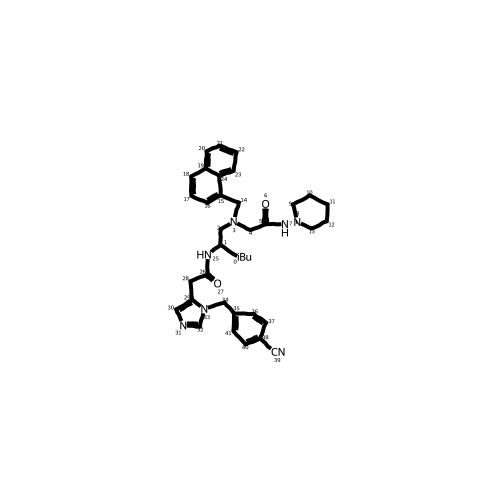 CCC(C)C(CN(CC(=O)NN1CCCCC1)Cc1cccc2ccccc12)NC(=O)Cc1cncn1Cc1ccc(C#N)cc1